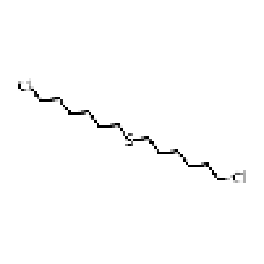 ClCCCCCCSCCCCCCCl